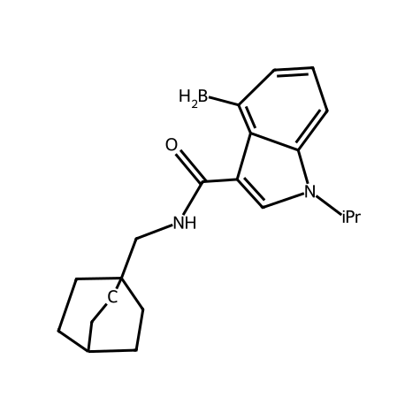 Bc1cccc2c1c(C(=O)NCC13CCC(CC1)CC3)cn2C(C)C